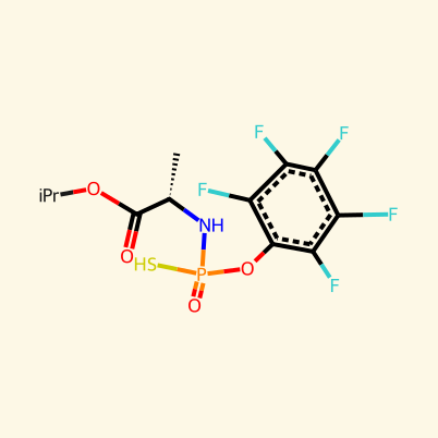 CC(C)OC(=O)[C@H](C)NP(=O)(S)Oc1c(F)c(F)c(F)c(F)c1F